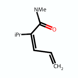 C=C/C=C(\C(=O)NC)C(C)C